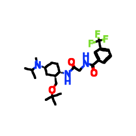 CC(C)N(C)[C@@H]1CC[C@H](NC(=O)CNC(=O)c2cccc(C(F)(F)F)c2)[C@@H](COC(C)(C)C)C1